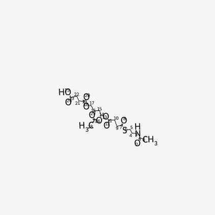 CC(=O)NCCSC(=O)CCC(=O)OC(CCCOC(=O)CCC(=O)O)OC(C)=O